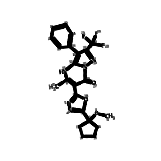 COC1(c2nnc(-c3c(C)[nH]c4c(-c5ccccc5)c(C(F)(F)F)nn4c3=O)o2)CCCC1